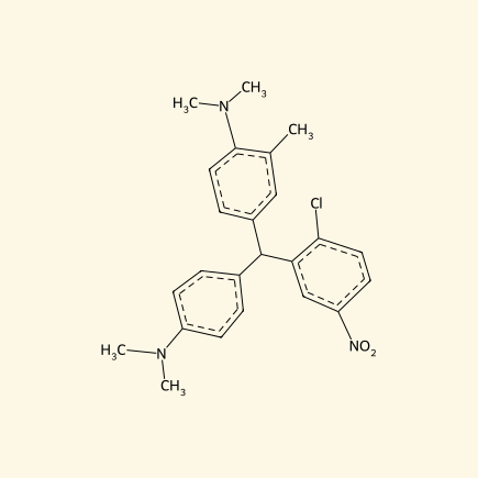 Cc1cc(C(c2ccc(N(C)C)cc2)c2cc([N+](=O)[O-])ccc2Cl)ccc1N(C)C